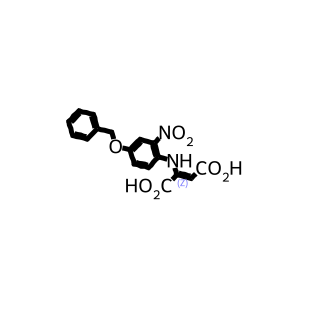 O=C(O)/C=C(\Nc1ccc(OCc2ccccc2)cc1[N+](=O)[O-])C(=O)O